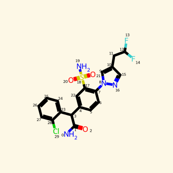 NC(=O)C(c1ccc(-n2cc(CC(F)F)cn2)c(S(N)(=O)=O)c1)c1ccccc1Cl